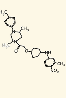 Cc1ccc(N2CC(C)N(C(=O)COC3CCC(Nc4ccc([N+](=O)[O-])c(C)c4)CC3)CC2C)cc1